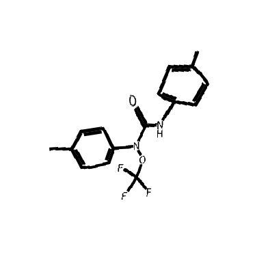 Cc1ccc(NC(=O)N(OC(F)(F)F)c2ccc(C)cc2)cc1